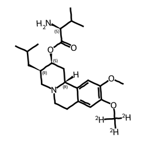 [2H]C([2H])([2H])Oc1cc2c(cc1OC)[C@H]1C[C@H](OC(=O)[C@@H](N)C(C)C)[C@H](CC(C)C)CN1CC2